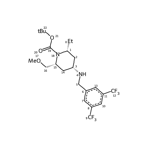 CC[C@@H]1C[C@H](NCc2cc(C(F)(F)F)cc(C(F)(F)F)c2)C[C@H](COC)N1C(=O)OC(C)(C)C